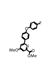 COC(=O)c1cc(OC)cc(-c2ccc(Oc3ccc(F)cc3)cc2)n1